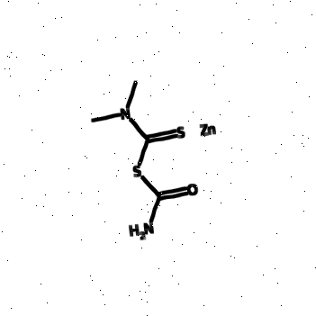 CN(C)C(=S)SC(N)=O.[Zn]